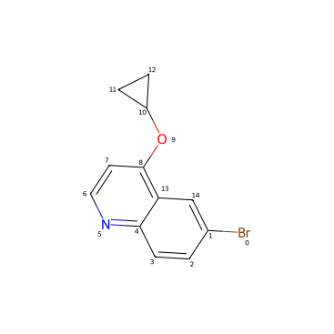 Brc1ccc2nccc(OC3CC3)c2c1